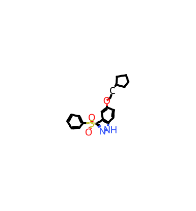 O=S(=O)(c1ccccc1)c1n[nH]c2ccc(OCCC3CCCC3)cc12